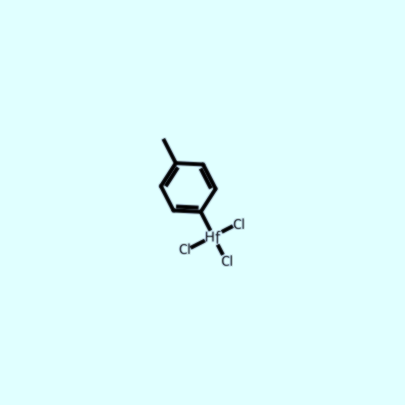 Cc1cc[c]([Hf]([Cl])([Cl])[Cl])cc1